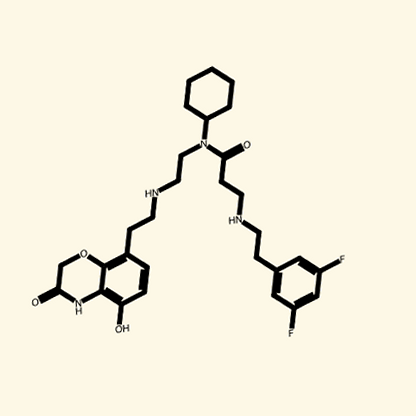 O=C1COc2c(CCNCCN(C(=O)CCNCCc3cc(F)cc(F)c3)C3CCCCC3)ccc(O)c2N1